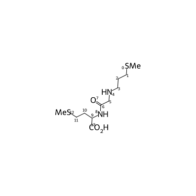 CSCCCNCC(=O)NC(CCSC)C(=O)O